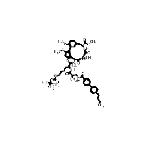 CCCCc1ccc(-c2ccc(C(=O)NCC(C)C(=O)N[C@@H](CCCCNC(=O)OC(C)(C)C)C(=O)N(C)[C@@H]3C(=O)N[C@@H](C)C(=O)N[C@H](C(=O)OC)Cc4ccc(OC)c(c4)-c4cc3ccc4OC)cc2)cc1